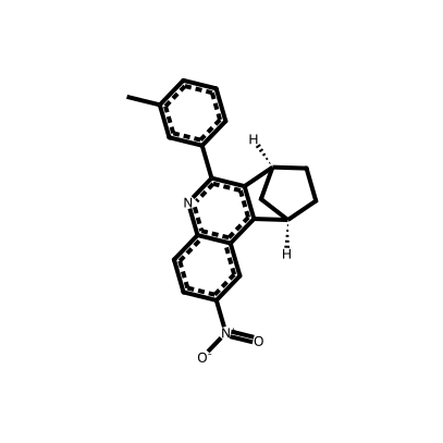 Cc1cccc(-c2nc3ccc([N+](=O)[O-])cc3c3c2[C@H]2CC[C@@H]3C2)c1